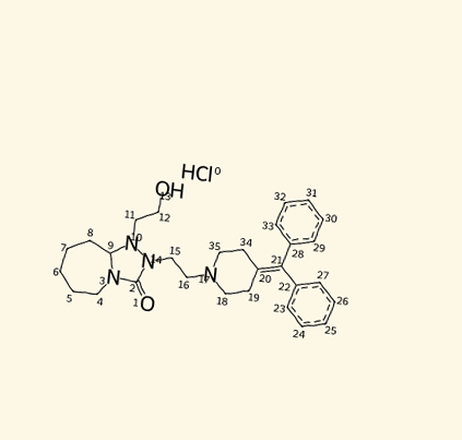 Cl.O=C1N2CCCCCC2N(CCO)N1CCN1CCC(=C(c2ccccc2)c2ccccc2)CC1